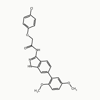 COc1ccc(OC)c(-c2ccc3c(NC(=O)COc4ccc(Cl)cc4)n[nH]c3c2)c1